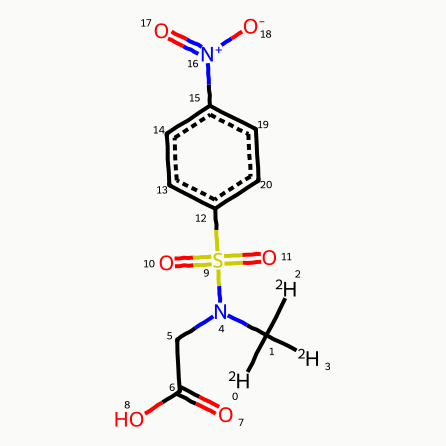 [2H]C([2H])([2H])N(CC(=O)O)S(=O)(=O)c1ccc([N+](=O)[O-])cc1